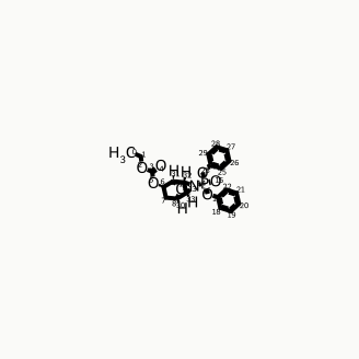 CCOC(=O)O[C@@H]1C[C@@H]2O[C@@H]1[C@H]1[C@@H]2N1P(=O)(Oc1ccccc1)Oc1ccccc1